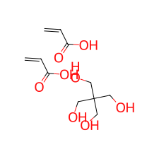 C=CC(=O)O.C=CC(=O)O.OCC(CO)(CO)CO